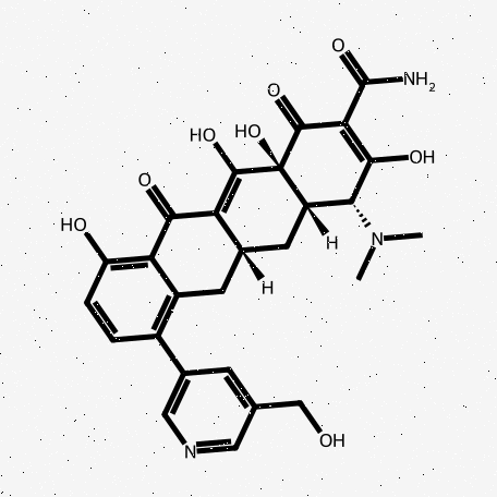 CN(C)[C@H]1C(O)=C(C(N)=O)C(=O)[C@@]2(O)C(O)=C3C(=O)c4c(O)ccc(-c5cncc(CO)c5)c4C[C@H]3C[C@@H]12